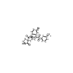 COC(=O)C1(CC2CN(S(=O)(=O)c3cccc(C(F)(F)F)c3)c3cc(Br)ccc3O2)CCNC1=O